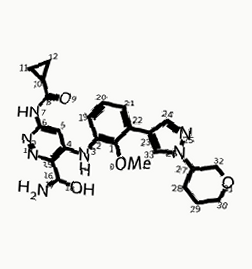 COc1c(Nc2cc(NC(=O)C3CC3)nnc2C(N)O)cccc1-c1cnn(C2CCCOC2)c1